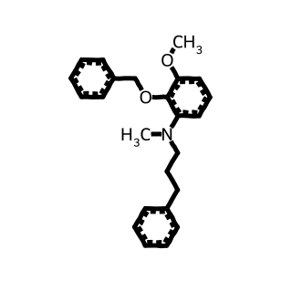 COc1cccc(N(C)CCCc2ccccc2)c1OCc1ccccc1